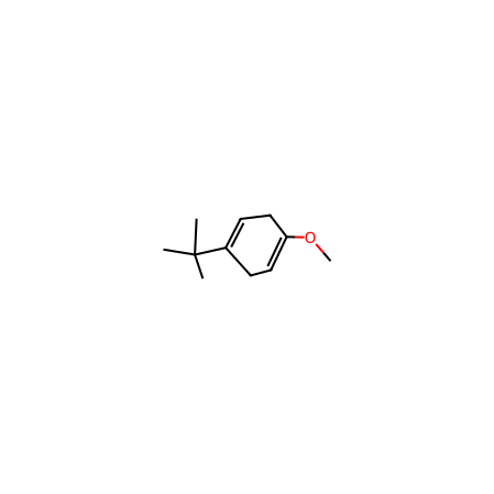 COC1=CCC(C(C)(C)C)=CC1